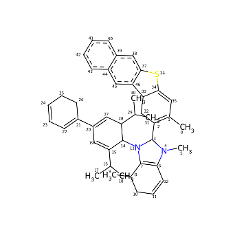 CC1=C(C2N(C)C3=C(C(C)CC=C3)N2C2C(C(C)C)=CC(C3=CC=CCC3)=CC2C(C)C)CC2C(=C1)Sc1cc3ccccc3cc12